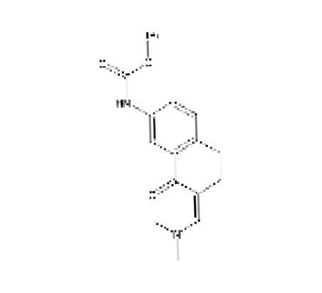 CN(C)C=C1CCc2ccc(NC(=O)OC(C)(C)C)cc2C1=O